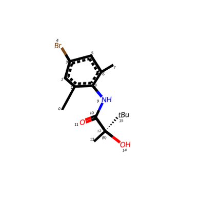 Cc1cc(Br)cc(C)c1NC(=O)[C@](C)(O)C(C)(C)C